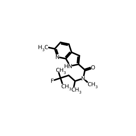 Cc1ccc2cc(C(=O)N(C)C(C)CC(C)(C)F)[nH]c2n1